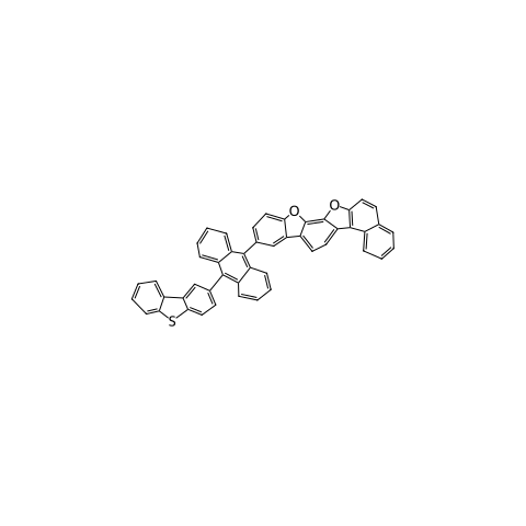 c1ccc2c(c1)ccc1oc3c(ccc4c5cc(-c6c7ccccc7c(-c7ccc8sc9ccccc9c8c7)c7ccccc67)ccc5oc43)c12